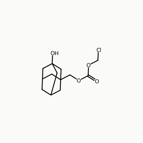 O=C(OCCl)OCC12CC3CC(CC(O)(C3)C1)C2